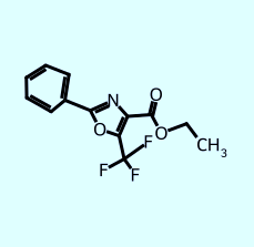 CCOC(=O)c1nc(-c2ccccc2)oc1C(F)(F)F